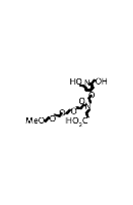 COCCOCCOCCOCCC(=O)N(CCCC(=O)O)CCOc1cc(CO)nc(CO)c1